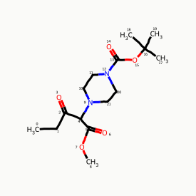 CCC(=O)C(C(=O)OC)N1CCN(C(=O)OC(C)(C)C)CC1